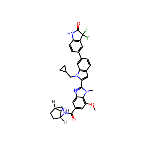 COc1cc(C(=O)N2C[C@H]3CC[C@@H]2[C@@H]3N)cc2nc(-c3cc4ccc(-c5ccc6c(c5)C(F)(F)C(=O)N6)cc4n3CC3CC3)n(C)c12